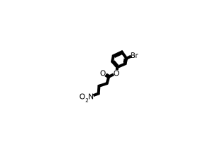 O=C(CCC[N+](=O)[O-])Oc1cccc(Br)c1